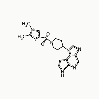 Cc1nc(S(=O)(=O)N2CCC(n3cnc4cnc5[nH]ccc5c43)CC2)cn1C